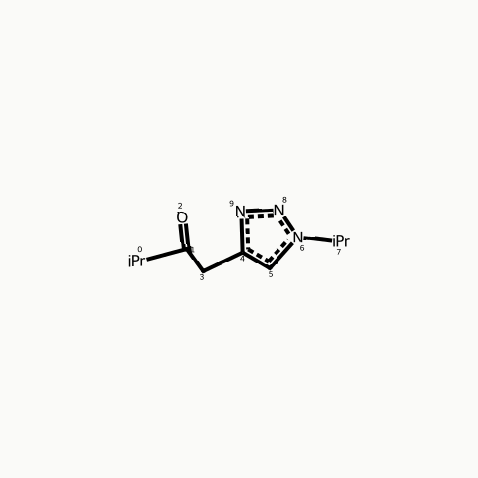 CC(C)C(=O)Cc1cn(C(C)C)nn1